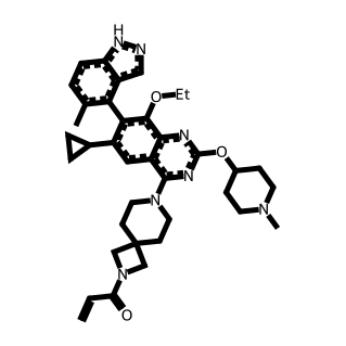 C=CC(=O)N1CC2(CCN(c3nc(OC4CCN(C)CC4)nc4c(OCC)c(-c5c(C)ccc6[nH]ncc56)c(C5CC5)cc34)CC2)C1